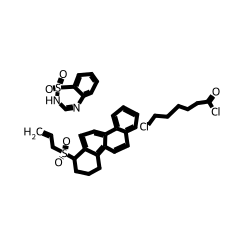 C=CCS(=O)(=O)C1CCCc2c1ccc1c2ccc2ccccc21.O=C(Cl)CCCCCCl.O=S1(=O)NC=Nc2ccccc21